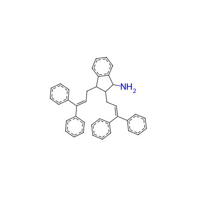 NC1c2ccccc2C(CC=C(c2ccccc2)c2ccccc2)C1CC=C(c1ccccc1)c1ccccc1